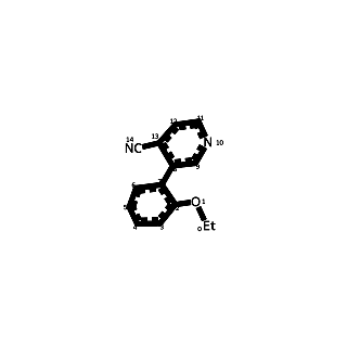 CCOc1ccccc1-c1cnccc1C#N